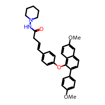 COc1ccc(-c2ccc3cc(OC)ccc3c2Oc2ccc(C=CCC(=O)NN3CCCCC3)cc2)cc1